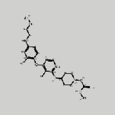 Cc1c(Oc2ccc(NCCOC(C)C)cc2F)ncnc1OC1CCN(OC(=O)OC(C)C)CC1